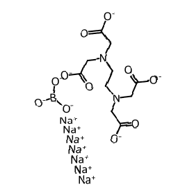 O=C([O-])CN(CCN(CC(=O)[O-])CC(=O)[O-])CC(=O)[O-].[Na+].[Na+].[Na+].[Na+].[Na+].[Na+].[Na+].[O-]B([O-])[O-]